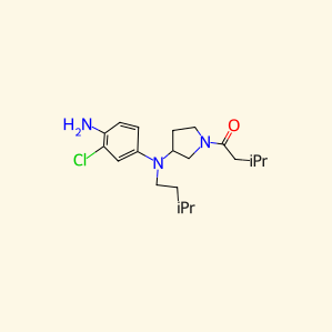 CC(C)CCN(c1ccc(N)c(Cl)c1)C1CCN(C(=O)CC(C)C)C1